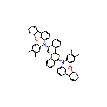 Cc1ccc(N(c2cccc3c2OC2C=CC=CC32)c2cc3c4ccccc4c(N(c4ccc(C)c(C)c4)c4cccc5c4OC4C=CC=CC54)cc3c3ccccc23)cc1C